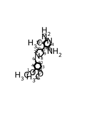 CCOc1cc(CN2CCC(c3c(N)cnc(N)c3C)CC2)ccc1OC